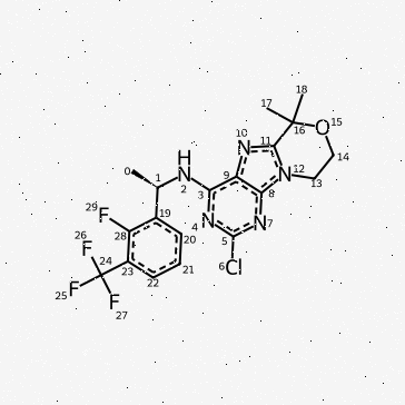 C[C@@H](Nc1nc(Cl)nc2c1nc1n2CCOC1(C)C)c1cccc(C(F)(F)F)c1F